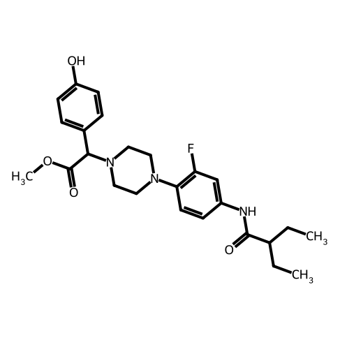 CCC(CC)C(=O)Nc1ccc(N2CCN(C(C(=O)OC)c3ccc(O)cc3)CC2)c(F)c1